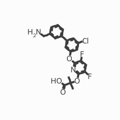 CC(C)(Oc1nc(Oc2cc(Cl)cc(-c3cccc(CN)c3)c2)c(F)cc1F)C(=O)O